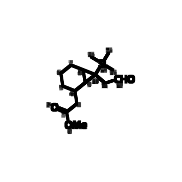 COC(=O)CC1CCCC2C1C2(CC=O)[Si](C)(C)C